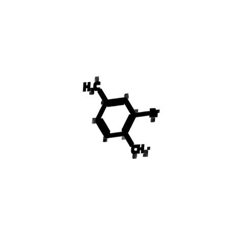 [CH2]c1ccc(C)cc1Br